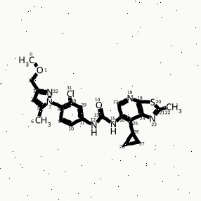 COCc1cc(C)n(-c2ccc(NC(=O)Nc3cnc4sc(C)nc4c3C3CC3)cc2Cl)n1